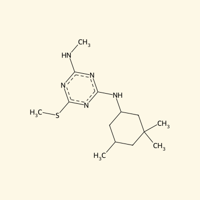 CNc1nc(NC2CC(C)CC(C)(C)C2)nc(SC)n1